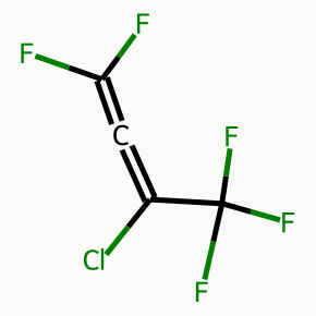 FC(F)=C=C(Cl)C(F)(F)F